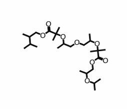 CC(C)OC(C)COC(=O)C(C)(C)OC(C)COCC(C)OC(C)(C)C(=O)OCC(C)C(C)C